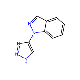 c1ccc2c(c1)cnn2-c1c[nH]nn1